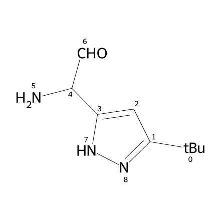 CC(C)(C)c1cc(C(N)C=O)[nH]n1